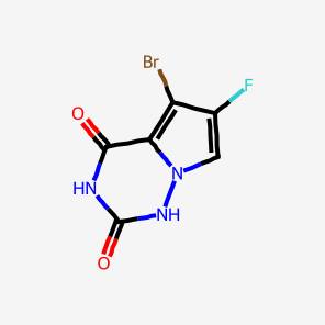 O=c1[nH]c(=O)c2c(Br)c(F)cn2[nH]1